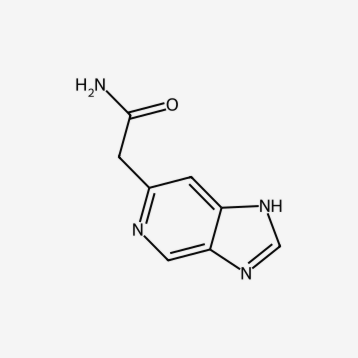 NC(=O)Cc1cc2[nH]cnc2cn1